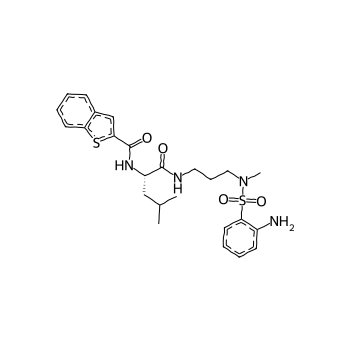 CC(C)C[C@H](NC(=O)c1cc2ccccc2s1)C(=O)NCCCN(C)S(=O)(=O)c1ccccc1N